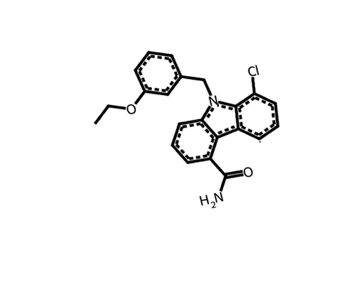 CCOc1cccc(Cn2c3cccc(C(N)=O)c3c3[c]ccc(Cl)c32)c1